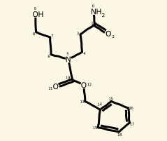 NC(=O)CCN(CCCO)C(=O)OCc1ccccc1